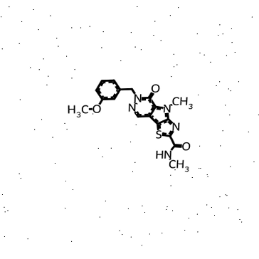 CNC(=O)c1nc2c(s1)c1cnn(Cc3cccc(OC)c3)c(=O)c1n2C